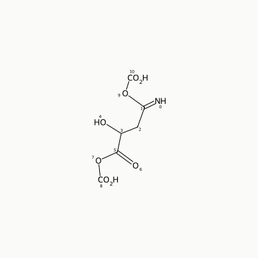 N=C(CC(O)C(=O)OC(=O)O)OC(=O)O